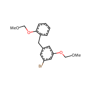 COCOc1cc(Br)cc(Cc2ccccc2OCOC)c1